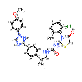 CC(C)c1cccc(Cl)c1N1C(=O)CS/C1=N\C(=O)NCC(C)c1ccc(-c2ncn(-c3ccc(OC(F)(F)F)cc3)n2)cc1